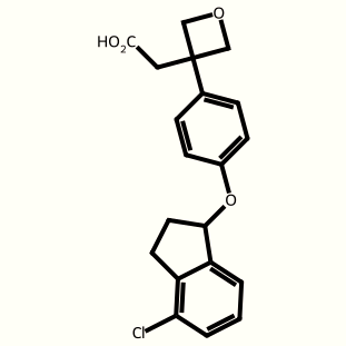 O=C(O)CC1(c2ccc(OC3CCc4c(Cl)cccc43)cc2)COC1